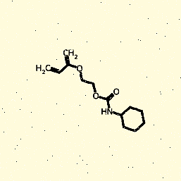 C=CC(=C)OCCOC(=O)NC1CCCCC1